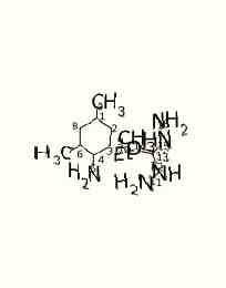 CC1CCC(N)C(C)C1.CCC.NNC(=O)NN